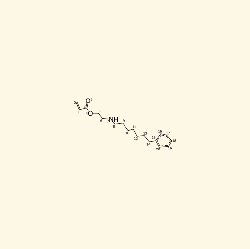 C=CC(=O)OCCNCCCCCCCc1ccccc1